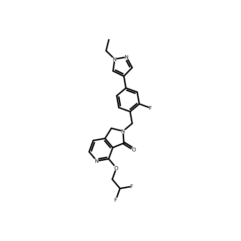 CCn1cc(-c2ccc(CN3Cc4ccnc(OCC(F)F)c4C3=O)c(F)c2)cn1